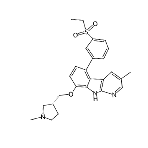 CCS(=O)(=O)c1cccc(-c2ccc(OC[C@@H]3CCN(C)C3)c3[nH]c4ncc(C)cc4c23)c1